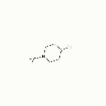 [3H]N1CCN(C)CC1